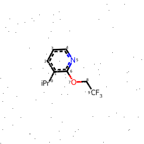 CC(C)c1cccnc1OCC(F)(F)F